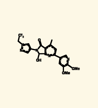 COc1cc(-c2cc(C)c3c(n2)C(O)N(c2cnn(CC(F)(F)F)c2)C3=O)cnc1OC